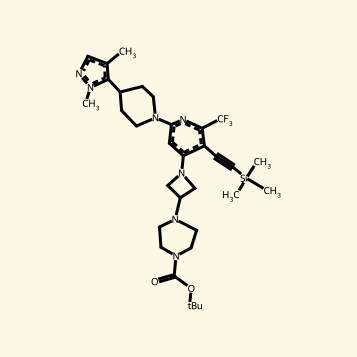 Cc1cnn(C)c1C1CCN(c2cc(N3CC(N4CCN(C(=O)OC(C)(C)C)CC4)C3)c(C#C[Si](C)(C)C)c(C(F)(F)F)n2)CC1